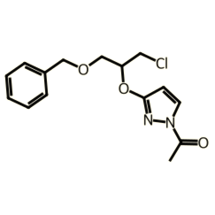 CC(=O)n1ccc(OC(CCl)COCc2ccccc2)n1